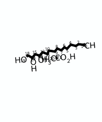 C#CCCCCCCCCCCC[C@@H](O)C[C@@H](O)CO.CC(=O)O